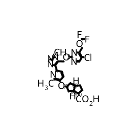 Cc1nc(-c2nnn(C)c2COc2ncc(Cl)c(COC(F)F)n2)ccc1O[C@H]1C[C@@H]2CC[C@H](C(=O)O)[C@@H]2C1